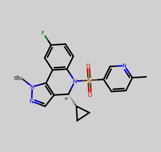 Cc1ccc(S(=O)(=O)N2c3ccc(F)cc3-c3c(cnn3C(C)(C)C)[C@H]2C2CC2)cn1